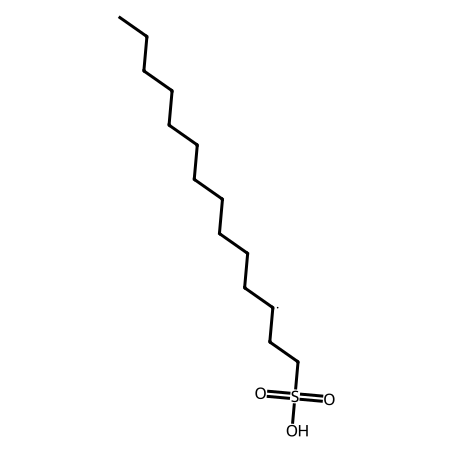 CCCCCCCCCCC[CH]CCS(=O)(=O)O